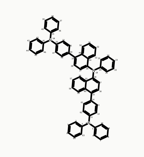 c1ccc(N(c2ccccc2)c2ccc(-c3ccc(N(c4ccccc4)c4ccc(-c5ccc(N(c6ccccc6)c6ccccc6)cc5)c5ccccc45)c4ccccc34)cc2)cc1